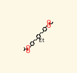 C=CC(=O)OCc1ccc(CCc2ccc(CCc3ccc(COC(=O)C(=C)C)cc3)c(CC)c2)cc1